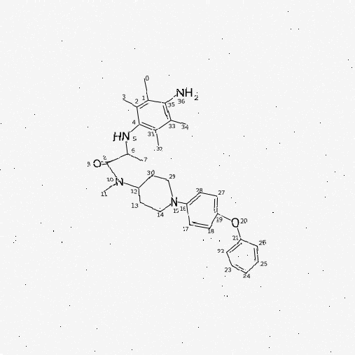 Cc1c(C)c(NC(C)C(=O)N(C)C2CCN(c3ccc(Oc4ccccc4)cc3)CC2)c(C)c(C)c1N